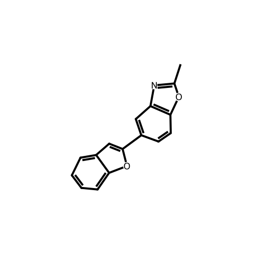 Cc1nc2cc(-c3cc4ccccc4o3)ccc2o1